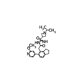 COc1cc(-c2ccc3c(c2CC(=O)NS(=N)(=O)C2CN(C(C)C)C2)CCC3)ccn1